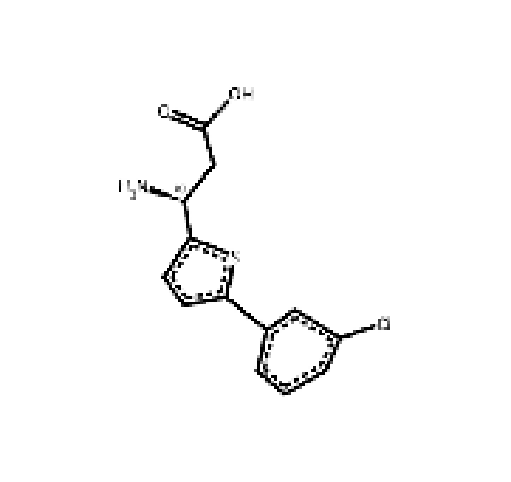 N[C@@H](CC(=O)O)c1ccc(-c2cccc(Cl)c2)s1